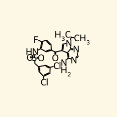 CC(C)n1cc(C(=O)c2ccc(F)c(NS(=O)(=O)Cc3cc(Cl)cc(Cl)c3)c2)c2c(N)ncnc21